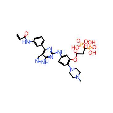 C=CC(=O)Nc1cccc(-c2nc(Nc3ccc(N4CCN(C)CC4)c(OC(=O)CC(P(=O)(O)O)P(=O)(O)O)c3)nc3[nH]ncc23)c1